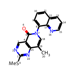 CSc1ncc2c(=O)n(-c3cccc4cccnc34)cc(C)c2n1